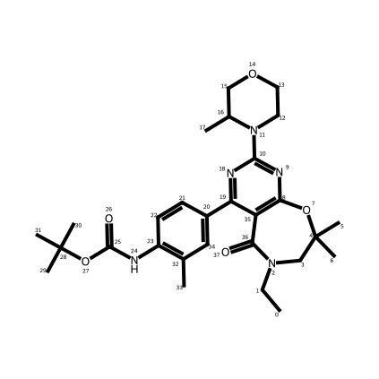 CCN1CC(C)(C)Oc2nc(N3CCOCC3C)nc(-c3ccc(NC(=O)OC(C)(C)C)c(C)c3)c2C1=O